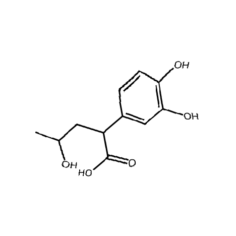 CC(O)CC(C(=O)O)c1ccc(O)c(O)c1